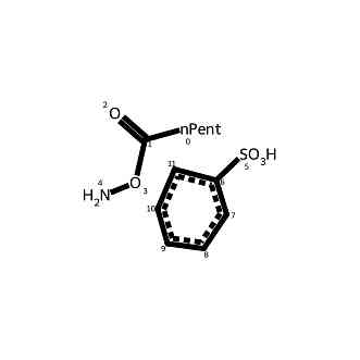 CCCCCC(=O)ON.O=S(=O)(O)c1ccccc1